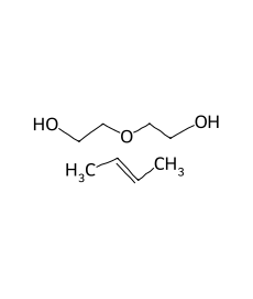 CC=CC.OCCOCCO